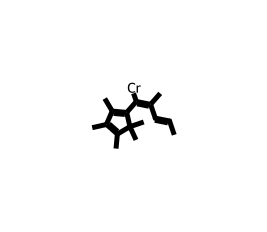 CC=CC(C)=[C]([Cr])C1=C(C)C(C)=C(C)C1(C)C